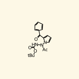 CC(=O)N(NC(=O)OC(C)(C)C)n1cccc1C(=O)c1ccccc1